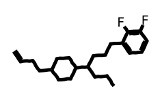 C=CCCC1CCC(C(CCC)CCCc2cccc(F)c2F)CC1